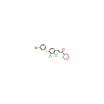 O=C(/C=C/c1ccc(Sc2cccc(Br)c2)c(Cl)c1Cl)N1CCOCC1